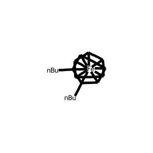 CCCC[C]12[CH]3[CH]4[CH]5[C]1(CCCC)[Fe]43521678[CH]2[CH]1[CH]6[CH]7[CH]28